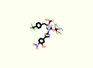 CC(C)(C)OC(=O)N(C[C@H](Cc1ccc(C(F)(F)F)cc1)NC(=O)O)c1nnc(-c2ccc([N+](=O)[O-])c(O)c2)s1